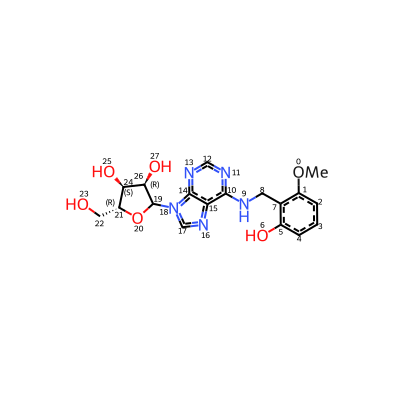 COc1cccc(O)c1CNc1ncnc2c1ncn2C1O[C@H](CO)[C@@H](O)[C@H]1O